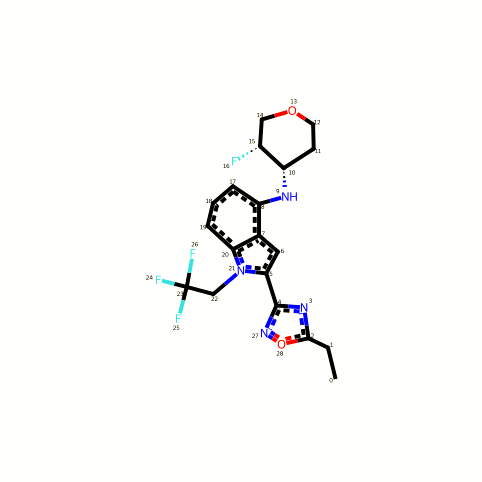 CCc1nc(-c2cc3c(N[C@H]4CCOC[C@H]4F)cccc3n2CC(F)(F)F)no1